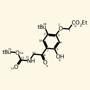 CCOC(=O)COc1cc(O)c(C(=O)CNC(=O)OC(C)(C)C)cc1C(C)(C)C